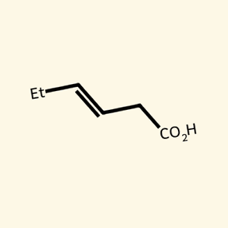 [CH2]CC=CCC(=O)O